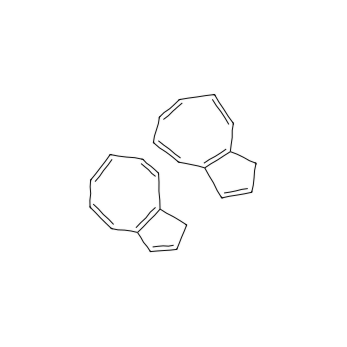 C1=CC=CC2=C(C=C1)C=CC2.C1=CC=CC2=C(C=C1)C=CC2